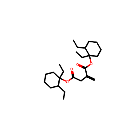 C=C(CC(=O)OC1(CC)CCCCC1CC)C(=O)OC1(CC)CCCCC1CC